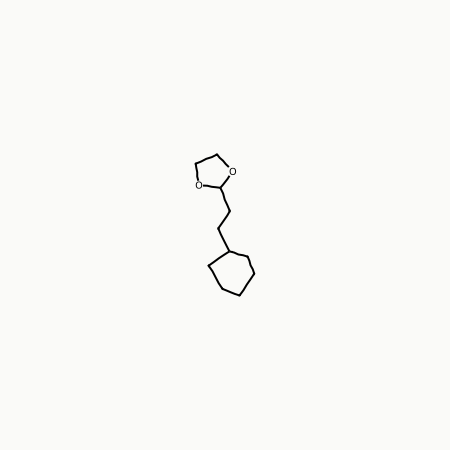 C1CC[C](CCC2OCCO2)CC1